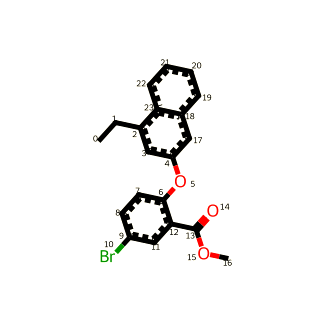 CCc1cc(Oc2ccc(Br)cc2C(=O)OC)cc2ccccc12